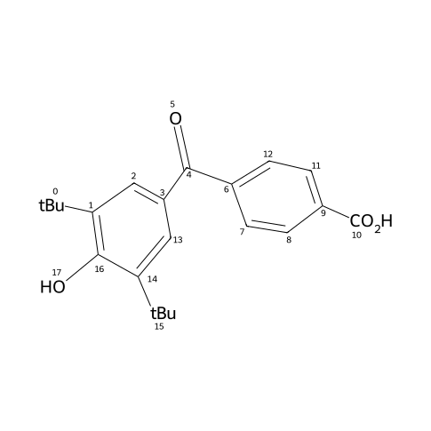 CC(C)(C)c1cc(C(=O)c2ccc(C(=O)O)cc2)cc(C(C)(C)C)c1O